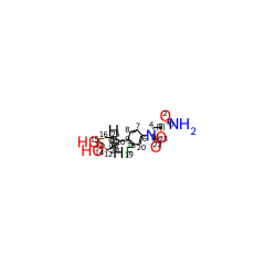 NC(=O)[C@H]1CN(c2ccc(C3[C@H]4CS(O)(O)C[C@@H]34)c(F)c2)C(=O)O1